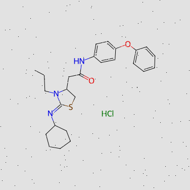 CCCN1C(=NC2CCCCC2)SCC1CC(=O)Nc1ccc(Oc2ccccc2)cc1.Cl